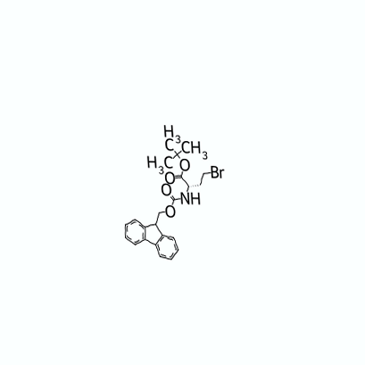 CC(C)(C)OC(=O)[C@H](CCBr)NC(=O)OCC1c2ccccc2-c2ccccc21